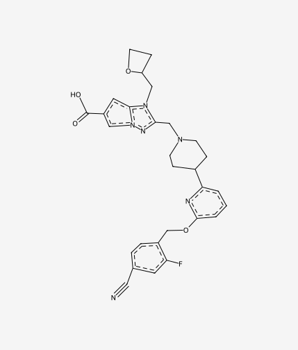 N#Cc1ccc(COc2cccc(C3CCN(Cc4nn5cc(C(=O)O)cc5n4CC4CCO4)CC3)n2)c(F)c1